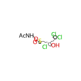 CC(=O)NCCOC(=O)c1ccc(CCC[C@@H]2[C@@H](CCc3cc(Cl)cc(Cl)c3)[C@H](O)C[C@@H]2Cl)s1